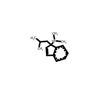 CC(C)C[C]1([Hf]([CH3])[CH3])C=Cc2ccccc21